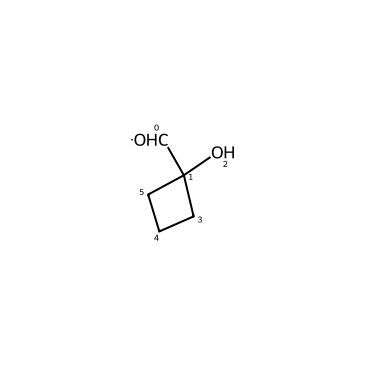 O=[C]C1(O)CCC1